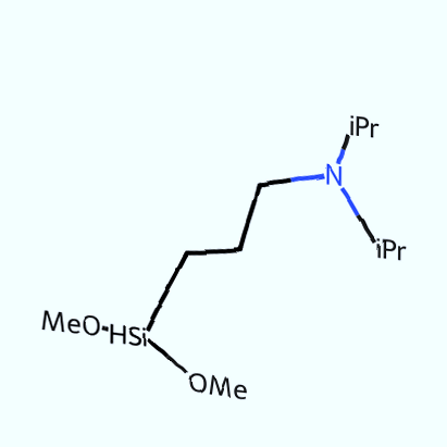 CO[SiH](CCCN(C(C)C)C(C)C)OC